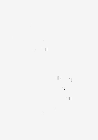 O=S(=O)(NCC1CCC(CNc2nc(NCCN3CCOCC3)c3ccccc3n2)CC1)c1cc(Cl)cc(CI)c1